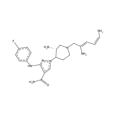 B[C@@H]1CN(C/C(N)=C/C=C\N)CCC1n1cc(C(N)=O)c(Nc2ccc(F)cc2)n1